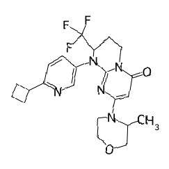 CC1COCCN1c1cc(=O)n2c(n1)N(c1ccc(C3CCC3)nc1)C(C(F)(F)F)CC2